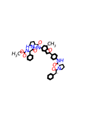 COC(=O)N[C@@H](C(=O)N1CCC[C@H]1C(=O)Nc1cc(C)c2oc(-c3ccc(NC(=O)[C@@H]4CCCN4C(=O)[CH]c4ccccc4)cc3)cc2c1)c1ccccc1